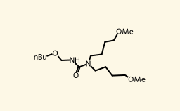 CCCCOCNC(=O)N(CCCCOC)CCCCOC